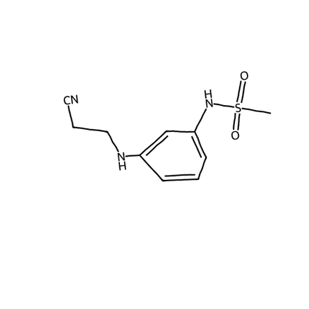 CS(=O)(=O)Nc1cccc(NCCC#N)c1